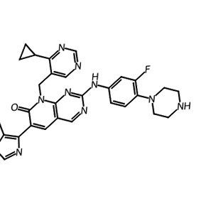 Cc1scnc1-c1cc2cnc(Nc3ccc(N4CCNCC4)c(F)c3)nc2n(Cc2cncnc2C2CC2)c1=O